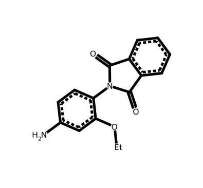 CCOc1cc(N)ccc1N1C(=O)c2ccccc2C1=O